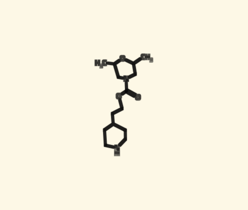 CC1CN(C(=O)OCCC2CCNCC2)CC(C)O1